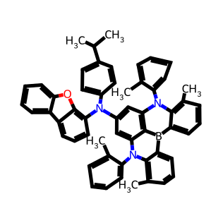 Cc1ccccc1N1c2cc(N(c3ccc(C(C)C)cc3)c3cccc4c3oc3ccccc34)cc3c2B(c2cccc(C)c21)c1cccc(C)c1N3c1ccccc1C